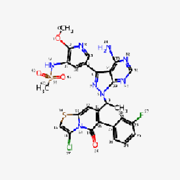 COc1ncc(-c2nn(C(C)c3cc4scc(Cl)n4c(=O)c3-c3cccc(F)c3)c3ncnc(N)c23)cc1NS(C)(=O)=O